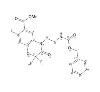 COC(=O)c1cc2c(cc1C)OC(F)(F)C(=O)N2CCNC(=O)OCc1ccccc1